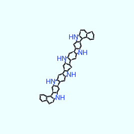 c1ccc2c(c1)ccc1[nH]c3cc4c(cc3c12)[nH]c1cc2c(cc14)[nH]c1cc3c(cc12)[nH]c1cc2c(cc13)[nH]c1cc3c(cc12)[nH]c1ccc2ccccc2c13